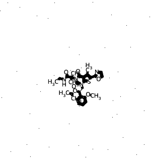 CCNC(=O)C(C)(C)n1c(=O)c2c(C)c(-c3ncco3)sc2n(C[C@@H](OC(C)C)c2ccccc2OC)c1=O